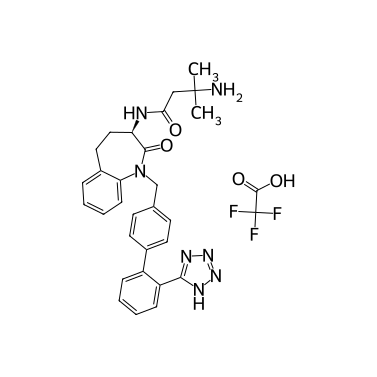 CC(C)(N)CC(=O)N[C@@H]1CCc2ccccc2N(Cc2ccc(-c3ccccc3-c3nnn[nH]3)cc2)C1=O.O=C(O)C(F)(F)F